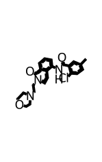 Cc1ccc(Cl)c(C(=O)Nc2cccc3c(=O)n(CCN4CCOCC4)ccc23)c1